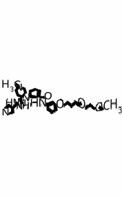 CCOCCCOCCCCCOc1cccc(NC(=O)c2cccc(NC3(c4nnc(-c5ccncc5)[nH]4)CCN(C)CC3)c2)c1